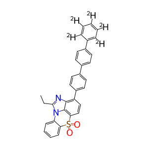 [2H]c1c([2H])c([2H])c(-c2ccc(-c3ccc(-c4ccc5c6c4nc(CC)n6-c4ccccc4S5(=O)=O)cc3)cc2)c([2H])c1[2H]